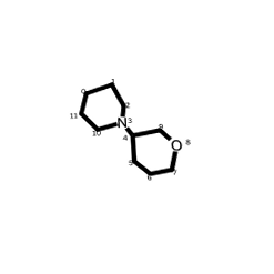 [CH]1CCN(C2CCCOC2)CC1